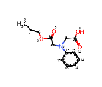 CCCOC(=O)CN(CC(=O)O)c1ccccc1